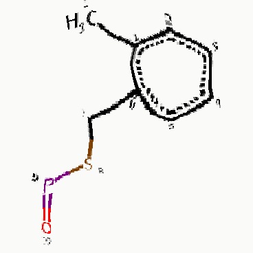 Cc1ccccc1CSP=O